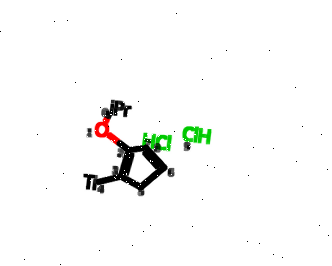 CC(C)OC1=[C]([Ti])CC=C1.Cl.Cl